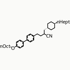 CCCCCCCCOc1ccc(-c2ccc(CCC(C#N)C[C@H]3CC[C@H](CCCCCCC)CC3)cc2)cc1